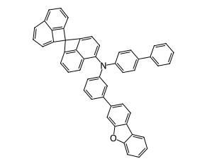 c1ccc(-c2ccc(N(c3cccc(-c4ccc5c(c4)oc4ccccc45)c3)c3ccc4c5c(cccc35)C43c4cccc5cccc3c45)cc2)cc1